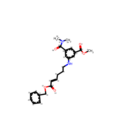 COC(=O)c1cc(NCCCC=CC(=O)OCc2ccccc2)cc(C(=O)N(C)C)c1